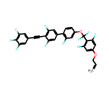 C=CCOc1cc(F)c(C(F)(F)Oc2ccc(-c3cc(F)c(C#Cc4cc(F)c(F)c(F)c4)c(F)c3)c(F)c2)c(F)c1